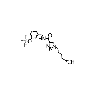 C#CCCCCn1cc(C(=O)NCc2cccc(OC(F)(F)F)c2)nn1